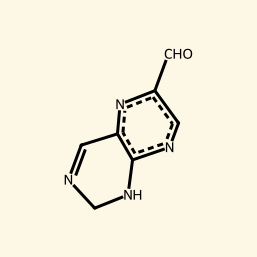 O=Cc1cnc2c(n1)C=NCN2